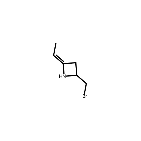 C/C=C1\CC(CBr)N1